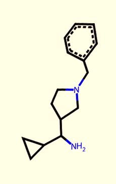 NC(C1CC1)C1CCN(Cc2ccccc2)C1